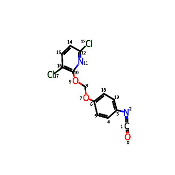 O=C=Nc1ccc(OCOc2nc(Cl)ccc2Cl)cc1